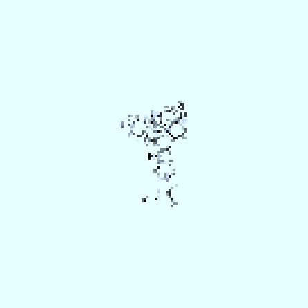 CC(=O)N(CCO)C[C@@H]1CC[C@@H](NC(=O)[C@@H]2NC3(CCC(C)(C)CC3)[C@@]3(C(=O)Nc4cc(Cl)ccc43)[C@H]2c2ccnc(Cl)c2)CO1